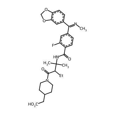 CCC(C(=O)N1CCC(CC(=O)O)CC1)C(C)(C)NC(=O)c1ccc(C(=NC)c2ccc3c(c2)OCO3)cc1F